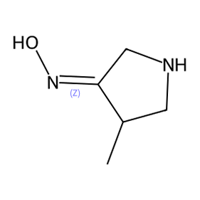 CC1CNC/C1=N\O